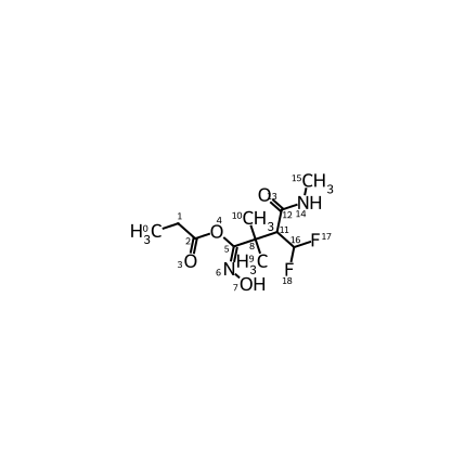 CCC(=O)OC(=NO)C(C)(C)C(C(=O)NC)C(F)F